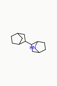 C1CC2CC1CC2C1CC2CCC1N2